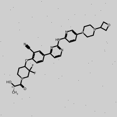 C[C@H](O)C(=O)N1CCC(Oc2ccc(-c3ccnc(Nc4ccc(N5CCN(C6COC6)CC5)cn4)n3)cc2C#N)C(F)(F)C1